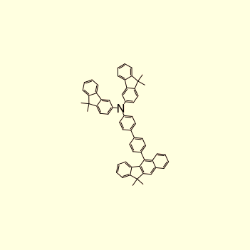 CC1(C)c2ccccc2-c2cc(N(c3ccc(-c4ccc(-c5c6c(cc7ccccc57)C(C)(C)c5ccccc5-6)cc4)cc3)c3ccc4c(c3)-c3ccccc3C4(C)C)ccc21